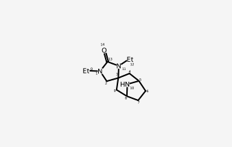 CCN1CC2(CC3CCC(C2)N3)N(CC)C1=O